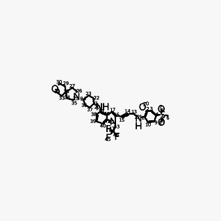 COc1cc(S(C)(=O)=O)ccc1NCC#Cc1cc2c(N[C@H]3CC[C@@H](N4CCC5(CCOCC5)CC4)CC3)cccc2n1CC(F)(F)F